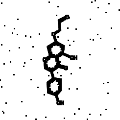 O=CCOc1cc(O)c2c(=O)c(-c3ccc(O)cc3)coc2c1